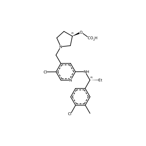 CC[C@@H](Nc1cc(CN2CC[C@@H](OC(=O)O)C2)c(Cl)cn1)c1ccc(Cl)c(C)c1